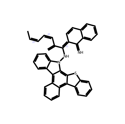 C=C(/C=C\C=C/C)/C(Nn1c2ccccc2c2c3ccccc3c3c4ccccc4sc3c21)=C1\C=Cc2ccccc2C1=N